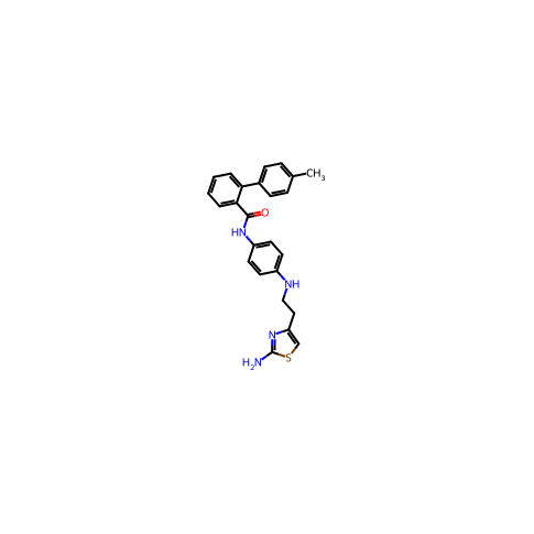 Cc1ccc(-c2ccccc2C(=O)Nc2ccc(NCCc3csc(N)n3)cc2)cc1